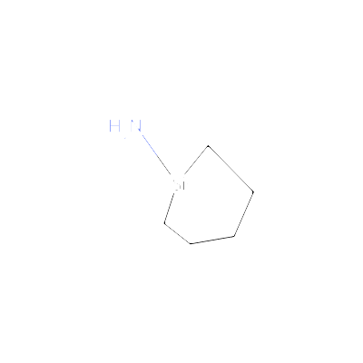 N[Si]1CCCCC1